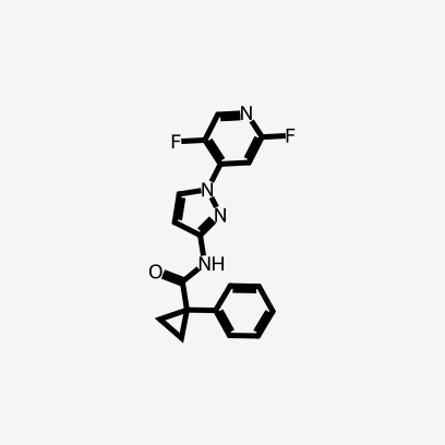 O=C(Nc1ccn(-c2cc(F)ncc2F)n1)C1(c2ccccc2)CC1